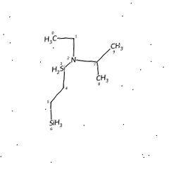 CCN([SiH2]CC[SiH3])C(C)C